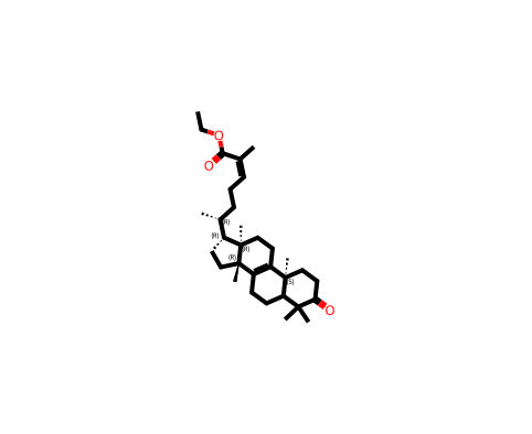 CCOC(=O)C(C)=CCC[C@@H](C)[C@H]1CC[C@@]2(C)C3=C(CC[C@]12C)[C@@]1(C)CCC(=O)C(C)(C)C1CC3